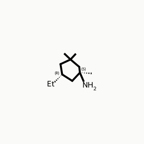 CC[C@@H]1CC(C)(C)C[C@@](C)(N)C1